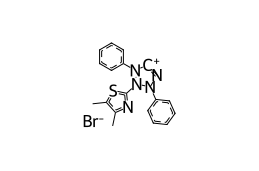 Cc1nc(N2N(c3ccccc3)[C+]=NN2c2ccccc2)sc1C.[Br-]